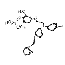 Cc1cc(OC/C=C(/c2ccc(F)cc2)c2ccc(C#Cc3ccccn3)cc2)ccc1OC(C)C(=O)O